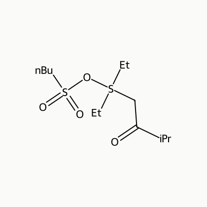 CCCCS(=O)(=O)OS(CC)(CC)CC(=O)C(C)C